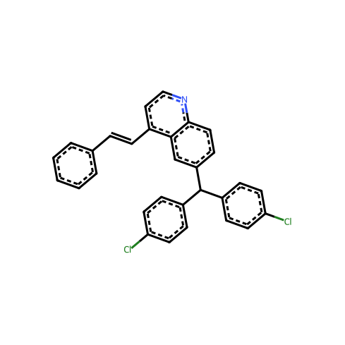 Clc1ccc(C(c2ccc(Cl)cc2)c2ccc3nccc(/C=C/c4ccccc4)c3c2)cc1